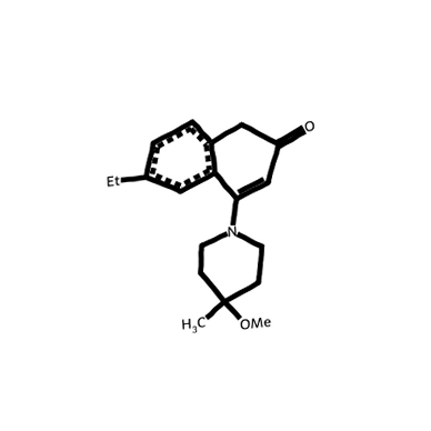 CCc1ccc2c(c1)C(N1CCC(C)(OC)CC1)=CC(=O)C2